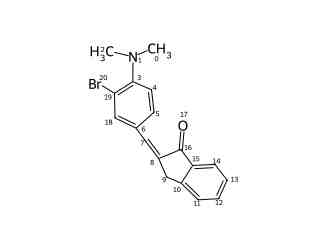 CN(C)c1ccc(C=C2Cc3ccccc3C2=O)cc1Br